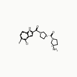 N[C@@H]1CCN(C(=O)[C@@H]2CCN(C(=O)c3cc4c(Cl)c(F)ccc4[nH]3)C2)C1